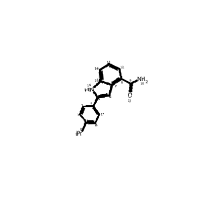 CC(C)c1ccc(-c2cc3c(C(N)=O)cccc3[nH]2)cc1